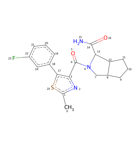 Cc1nc(C(=O)N2CC3CCCC3C2C(N)=O)c(-c2cccc(F)c2)s1